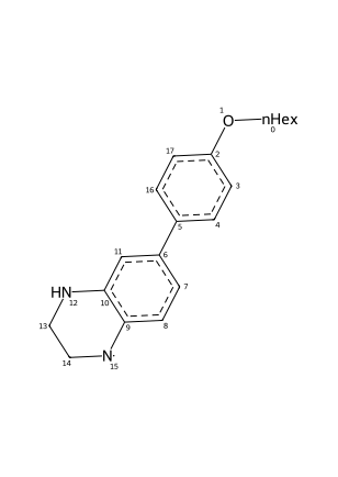 CCCCCCOc1ccc(-c2ccc3c(c2)NCC[N]3)cc1